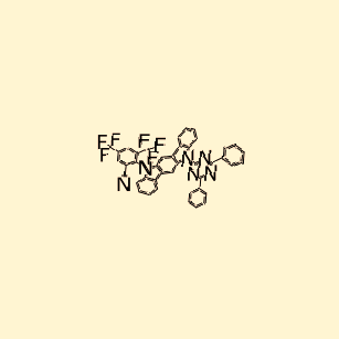 N#Cc1cc(C(F)(F)F)cc(C(F)(F)F)c1-n1c2ccccc2c2cc3c(cc21)c1ccccc1n3-c1nc(-c2ccccc2)nc(-c2ccccc2)n1